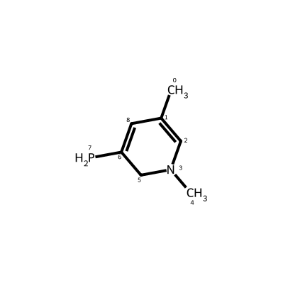 CC1=CN(C)CC(P)=C1